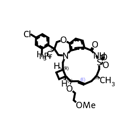 CCCc1cc(Cl)ccc1[C@]1(C)COc2ccc3cc2N(C[C@@H]2CC[C@H]2[C@@H](OCCOC)/C=C/C[C@H](C)CS(=O)(=O)NC3=O)C1